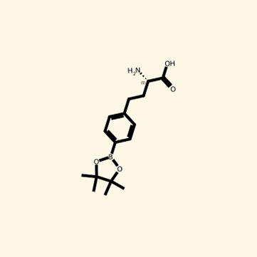 CC1(C)OB(c2ccc(CC[C@H](N)C(=O)O)cc2)OC1(C)C